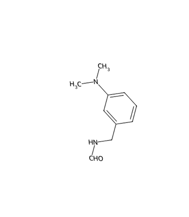 CN(C)c1cccc(CNC=O)c1